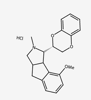 COc1cccc2c1C1C(C2)CN(C)C1[C@H]1COc2ccccc2O1.Cl